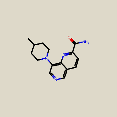 CC1CCN(c2cncc3ccc(C(N)=O)nc23)CC1